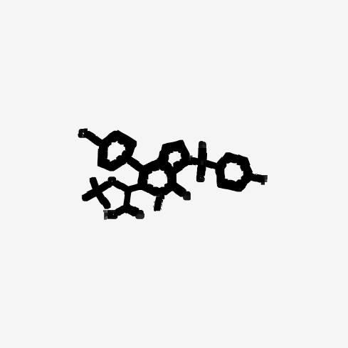 Cn1c(C(OC(C)(C)C)C(=O)O)c(-c2ccc(Cl)cc2)c2ccn(S(=O)(=O)c3ccc(F)cc3)c2c1=O